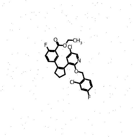 CCOC(=O)c1cc(C2=C(c3cc(Cl)cnc3OCc3ccc(F)cc3Cl)CCC2)ccc1F